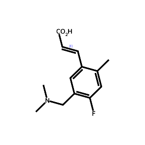 Cc1cc(F)c(CN(C)C)cc1/C=C/C(=O)O